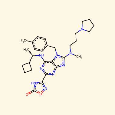 C[C@@H](Nc1nc(-c2noc(=O)[nH]2)nc2nc(N(C)CCCN3CCCC3)n(Cc3ccc(C(F)(F)F)cc3)c12)C1CCC1